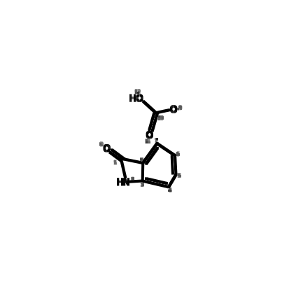 O=C1Nc2ccccc21.[O]C(=O)O